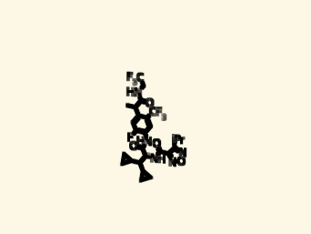 CC(C)c1nonc1C(=O)N[C@H](C(=O)Nc1cc(C(F)(F)F)c(C(C)C(=O)NCC(F)(F)F)cc1F)C(C1CC1)C1CC1